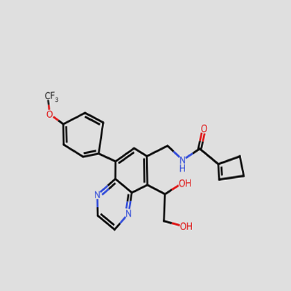 O=C(NCc1cc(-c2ccc(OC(F)(F)F)cc2)c2nccnc2c1C(O)CO)C1=CCC1